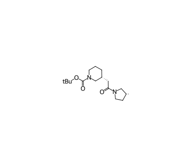 CC(C)(C)OC(=O)N1CCC[C@H](CC(=O)N2C[CH]CC2)C1